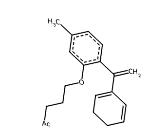 C=C(C1=CCCC=C1)c1ccc(C)cc1OCCCC(C)=O